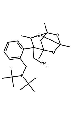 CC12CC3(C)OC(C)(CC(C)(O1)C3(CP)c1ccccc1CP(C(C)(C)C)C(C)(C)C)O2